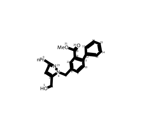 CCCc1cc(CO)n(Cc2ccc(-c3ccccc3)c(C(=O)OC)c2)n1